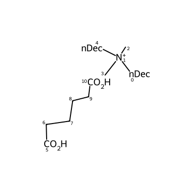 CCCCCCCCCC[N+](C)(C)CCCCCCCCCC.O=C(O)CCCCC(=O)O